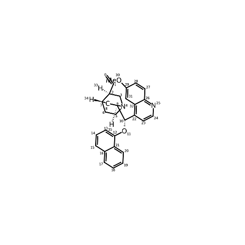 C=C[C@H]1CN2CC[C@H]1C[C@@H]2[C@@H](Oc1cccc2ccccc12)c1ccnc2ccc(OC)cc12